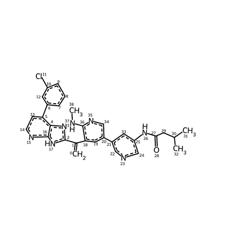 C=C(c1nc2c(-c3cccc(Cl)c3)ccnc2[nH]1)c1cc(-c2cncc(NC(=O)CC(C)C)c2)cnc1NC